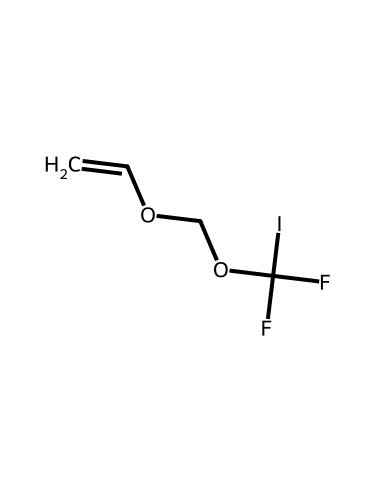 C=COCOC(F)(F)I